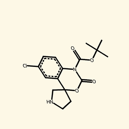 CC(C)(C)OC(=O)N1C(=O)OC2(CCNC2)c2cc(Cl)ccc21